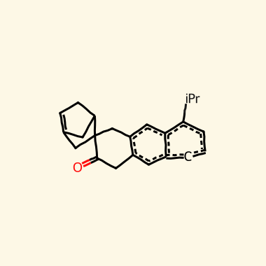 CC(C)c1cccc2cc3c(cc12)CC1(CC2=CCC1C2)C(=O)C3